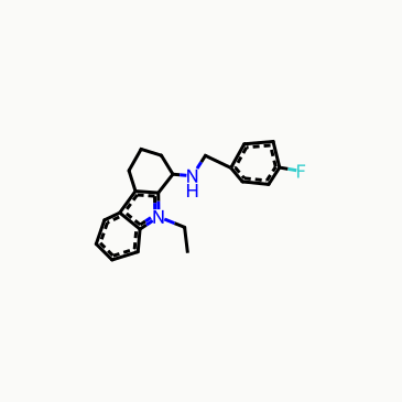 CCn1c2c(c3ccccc31)CCCC2NCc1ccc(F)cc1